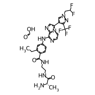 CCc1cc(Nc2nccn3c(-c4cn(CC(F)F)nc4C(F)(F)F)cnc23)ccc1C(=O)NCCNC(=O)[C@H](C)N.O=CO